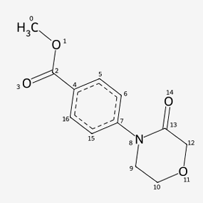 COC(=O)c1ccc(N2CCOCC2=O)cc1